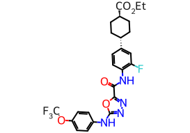 CCOC(=O)[C@H]1CC[C@H](c2ccc(NC(=O)c3nnc(Nc4ccc(OC(F)(F)F)cc4)o3)c(F)c2)CC1